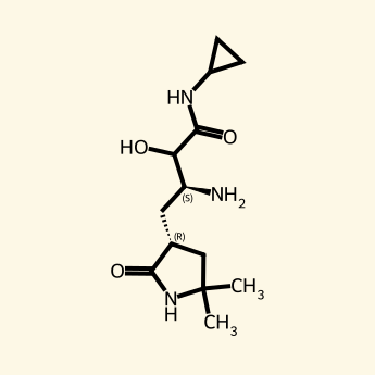 CC1(C)C[C@@H](C[C@H](N)C(O)C(=O)NC2CC2)C(=O)N1